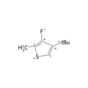 Cc1scc(C(C)(C)C)c1F